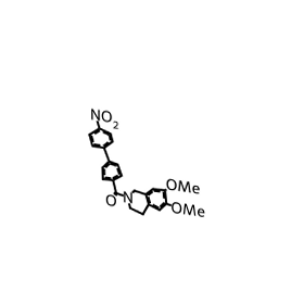 COc1cc2c(cc1OC)CN(C(=O)c1ccc(-c3ccc([N+](=O)[O-])cc3)cc1)CC2